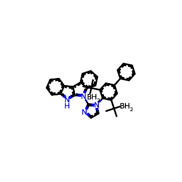 BC(C)(C)c1cc(-c2ccccc2)cc(C(B)(C)C)c1-n1ccnc1-n1c2ccccc2c2c3ccccc3[nH]c21